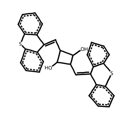 OC1C(C=C2c3ccccc3Sc3ccccc32)C(O)C1C=C1c2ccccc2Sc2ccccc21